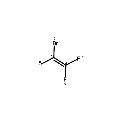 [CH2]C(Br)=C(F)F